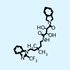 CC(C)(CCNC(=O)[C@H](O)[C@@H](O)C(=O)N1Cc2ccccc2C1)CCn1c(C(F)(F)F)nc2ccccc21